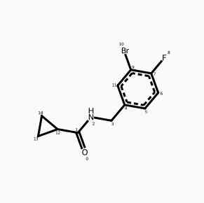 O=C(NCc1ccc(F)c(Br)c1)C1CC1